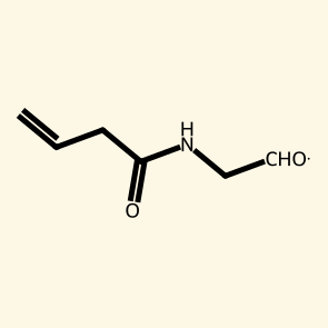 C=CCC(=O)NC[C]=O